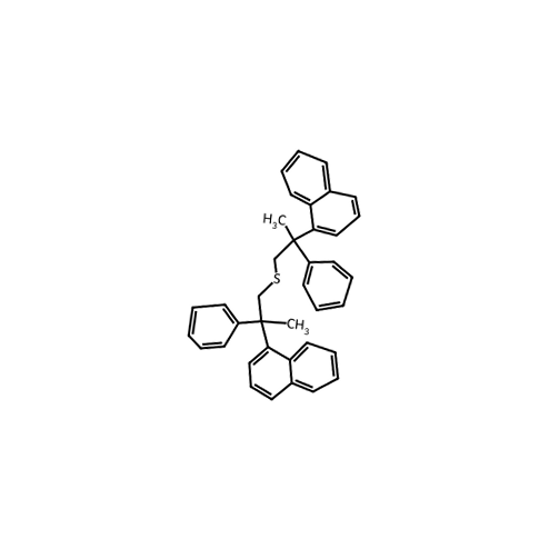 CC(CSCC(C)(c1ccccc1)c1cccc2ccccc12)(c1ccccc1)c1cccc2ccccc12